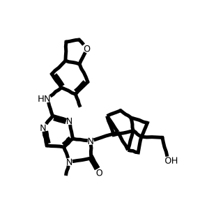 CC1=CC2OCCC2C=C1Nc1ncc2c(n1)n(C1C3CC4CC5(CO)CC1C45C3)c(=O)n2C